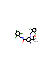 CCC1(OC)C(=O)N(Cc2c(F)cccc2Cl)c2cc(C(=O)NCc3c(F)cc(F)cc3F)cc(I)c21